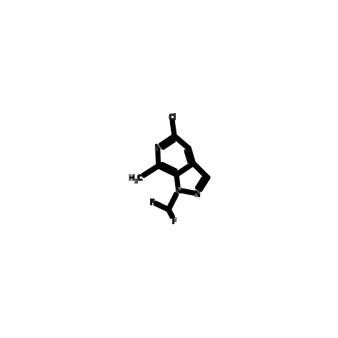 Cc1nc(Cl)cc2cnn(C(F)F)c12